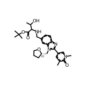 Cc1cc(-c2nc3ccc(CNC(C(=O)OC(C)(C)C)C(C)O)cc3n2C[C@@H]2CCCO2)cn(C)c1=O